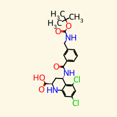 CC(C)(C)OC(=O)NCc1cccc(C(=O)N[C@H]2C[C@H](C(=O)O)Nc3cc(Cl)cc(Cl)c32)c1